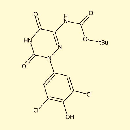 CC(C)(C)OC(=O)Nc1nn(-c2cc(Cl)c(O)c(Cl)c2)c(=O)[nH]c1=O